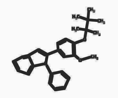 COc1cc(-c2cc3ccccc3n2-c2ccccc2)ccc1OC(C)(C)C(C)(C)C